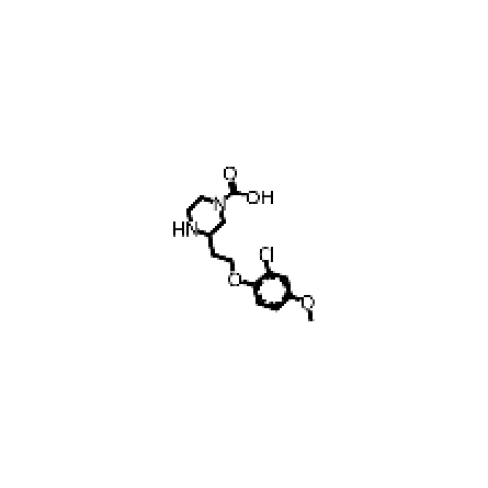 COc1ccc(OCCC2CN(C(=O)O)CCN2)c(Cl)c1